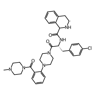 CN1CCN(C(=O)c2ccccc2N2CCN(C(=O)[C@@H](Cc3ccc(Cl)cc3)NC(=O)C3N[CH]Cc4ccccc43)CC2)CC1